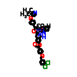 Cc1ccccc1NC(=O)N1Cc2cc3c(cc2C[C@H]1C(=O)N[C@@H](Cc1ccc(Oc2ccnc(C)c2C)cc1)C(=O)O)OC[C@H](c1ccc(OCc2ccc(Cl)c(Cl)c2)cc1)O3